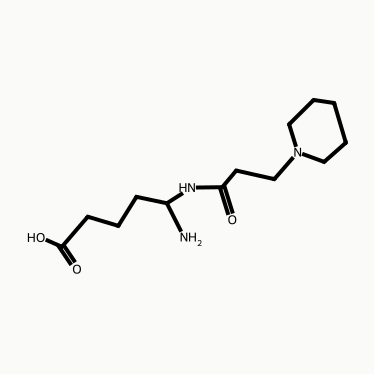 NC(CCCC(=O)O)NC(=O)CCN1CCCCC1